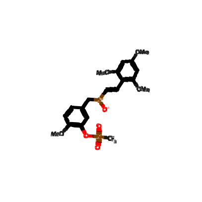 COc1cc(OC)c(/C=C/[S+]([O-])Cc2ccc(OC)c(OS(=O)(=O)C(F)(F)F)c2)c(OC)c1